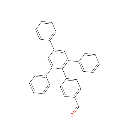 O=Cc1ccc(-c2c(-c3ccccc3)cc(-c3ccccc3)cc2-c2ccccc2)cc1